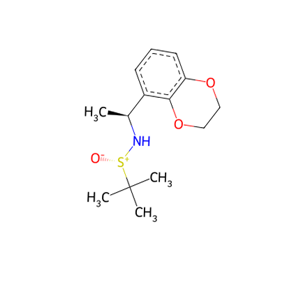 C[C@H](N[S@@+]([O-])C(C)(C)C)c1cccc2c1OCCO2